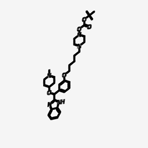 CN1CCC(OC(c2cccc(OCCCCCN3CCN(OC(=O)OC(C)(C)C)CC3)c2)c2nc3ccccc3[nH]2)CC1